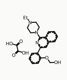 CCN1CCN(c2nc(-c3ccccc3OCO)cc3ccccc23)CC1.O=C(O)C(=O)O